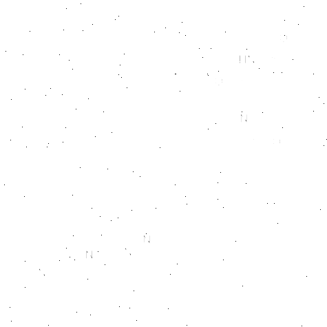 O=C1CCC(N2Cc3cc(C#Cc4ccc(N5C=CC=NC=C5)nn4)ccc3C2=O)C(=O)N1